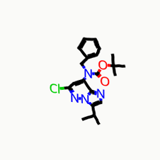 CC(C)c1cnc2c(N(Cc3ccccc3)C(=O)OC(C)(C)C)cc(Cl)nn12